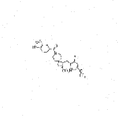 O=C(C1CCc2[nH]nnc2C1)N1CCC2(CC1)CN(C(=O)O)C2Cc1ccc(OC(F)(F)F)cc1F